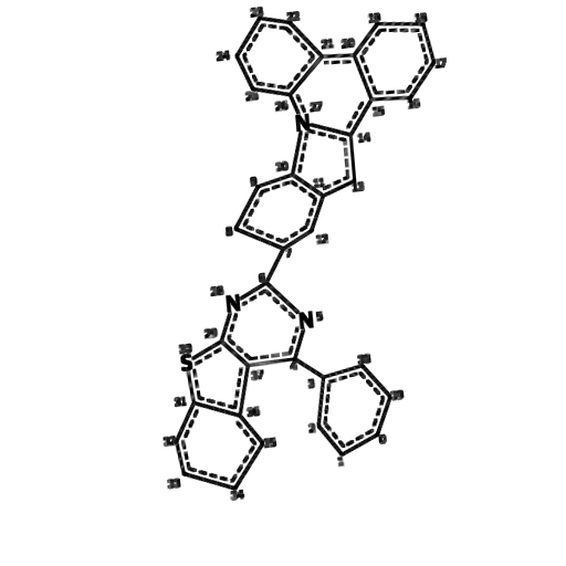 c1ccc(-c2nc(-c3ccc4c(c3)cc3c5ccccc5c5ccccc5n43)nc3sc4ccccc4c23)cc1